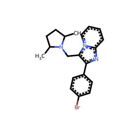 CC1CCC(C)N1Cc1c(-c2ccc(Br)cc2)nc2ccccn12